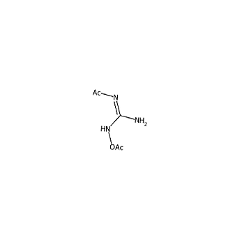 CC(=O)N=C(N)NOC(C)=O